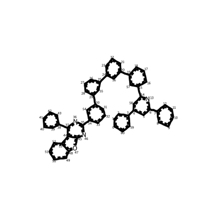 c1ccc(-c2cc(-c3ccccc3)nc(-c3cccc(-c4cccc(-c5cccc(-c6cccc(-c7nc(-c8ccccc8)c8c(n7)oc7ccccc78)c6)c5)c4)c3)c2)cc1